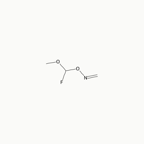 C=NOC(F)OC